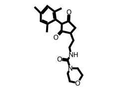 Cc1cc(C)c(C2C(=O)CC(CCNC(=O)N3CCOCC3)C2=O)c(C)c1